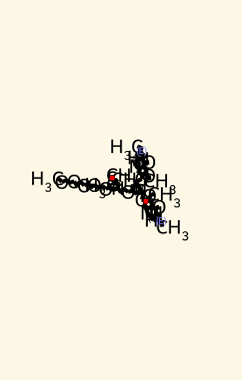 C/C=C1\C[C@H]2C=Nc3cc(OCc4cc(OCCN(CCOCCOCCOCCOCCOC)CC(C)(C)SC)cc(COc5cc6c(cc5OC)C(=O)N5C/C(=C/C)C[C@H]5C=N6)n4)c(OC)cc3C(=O)N2C1